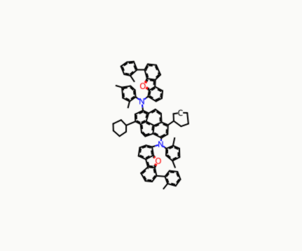 Cc1ccc(N(c2cc(C3CCCCC3)c3ccc4c(N(c5cc(C)ccc5C)c5cccc6c5oc5c(-c7ccccc7C)cccc56)cc(C5CCCCC5)c5ccc2c3c54)c2cccc3c2oc2c(-c4ccccc4C)cccc23)c(C)c1